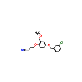 COCc1cc(OCc2cccc(Cl)c2)ccc1OCCCC#N